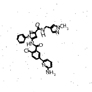 Cn1cc(CNC(=O)c2cc(NC(=O)c3cc(-c4cccc(N)n4)ccc3Cl)n(-c3ccccc3)n2)cn1